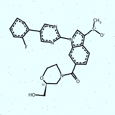 C[S+]([O-])c1cn(-c2ncc(-c3ccccc3F)cn2)c2cc(C(=O)N3CCO[C@H](CO)C3)ccc12